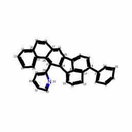 c1ccc(-c2ccc3c4c(cccc24)-c2c-3cc3ccc4ccccc4c3c2-c2ccccn2)cc1